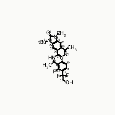 Cc1nnc(N[C@H](C)c2cccc(C(F)(F)CO)c2F)c2cc3c(cc12)n(C)c(=O)n3C(C)(C)C